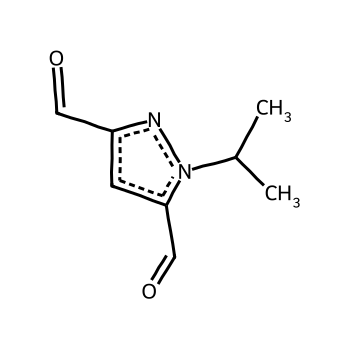 CC(C)n1nc(C=O)cc1C=O